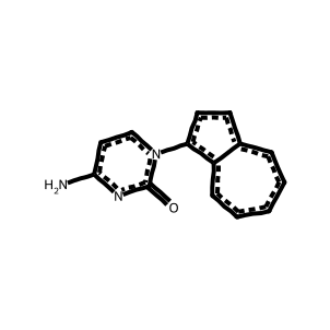 Nc1ccn(-c2ccc3cccccc2-3)c(=O)n1